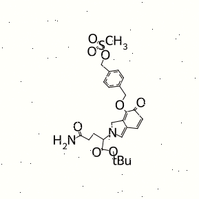 CC(C)(C)OC(=O)C(CCC(N)=O)N1C=C2C=CC(=O)C(OCc3ccc(COS(C)(=O)=O)cc3)=C2C1